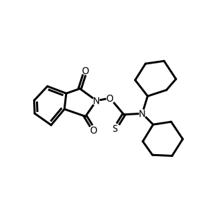 O=C1c2ccccc2C(=O)N1OC(=S)N(C1CCCCC1)C1CCCCC1